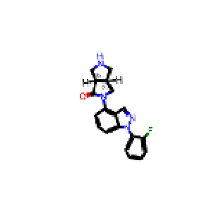 O=C1[C@@H]2CNC[C@@H]2CN1c1cccc2c1cnn2-c1ccccc1F